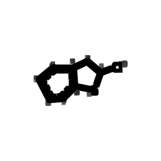 Cl[C]1Cc2ccccc2S1